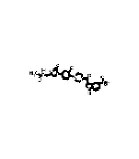 CC(=O)NCC1CN(c2ccc(N3CCN(C(=O)c4c[nH]c5ccc([N+](=O)[O-])cc45)CC3)c(F)c2)C(=O)O1